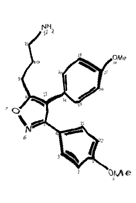 COc1ccc(-c2noc(CCCN)c2-c2ccc(OC)cc2)cc1